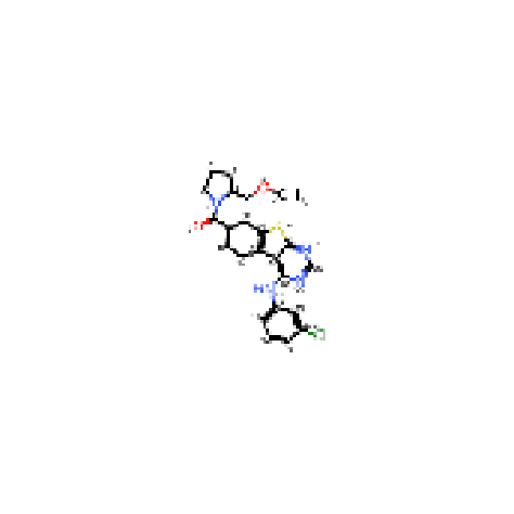 COCC1CCCN1C(=O)C1CCc2c(sc3ncnc(Nc4cccc(Cl)c4)c23)C1